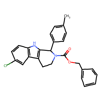 Cc1ccc(C2c3[nH]c4ccc(Cl)cc4c3CCN2C(=O)OCc2ccccc2)cc1